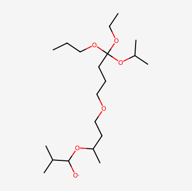 CCCOC(CCCOCCC(C)OC([O])C(C)C)(OCC)OC(C)C